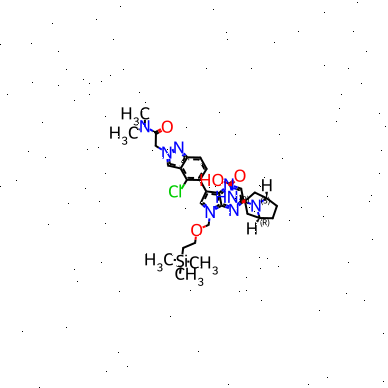 CN(C)C(=O)Cn1cc2c(Cl)c(-c3cn(COCC[Si](C)(C)C)c4nc(N5[C@@H]6CC[C@H]5C[C@@H](NC(=O)O)C6)cnc34)ccc2n1